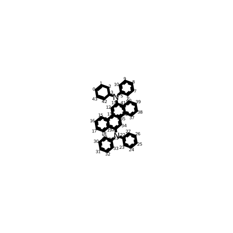 C1=CCC(N(c2ccccc2)c2cc3c4ccccc4c(N(c4ccccc4)c4ccccc4)cc3c3ccccc23)C=C1